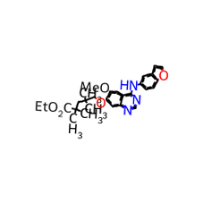 CCOC(=O)C(C)(C)CC(C)(C)COc1cc2ncnc(Nc3ccc4occc4c3)c2cc1OC